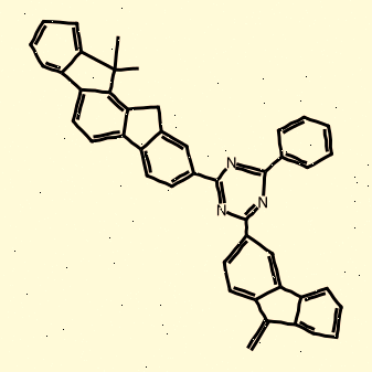 C=C1c2ccccc2-c2cc(-c3nc(-c4ccccc4)nc(-c4ccc5c(c4)Cc4c-5ccc5c4C(C)(C)c4ccccc4-5)n3)ccc21